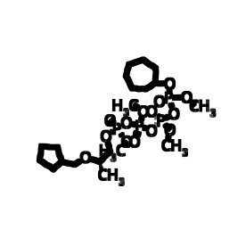 COP(=O)(OC[C@H](C)OCC1CCCC1)OP(=O)(OC)OP(=O)(OC)OP(=O)(OC)OC1CCCCCC1